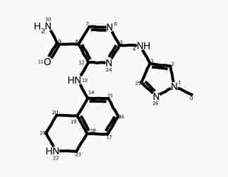 Cn1cc(Nc2ncc(C(N)=O)c(Nc3cccc4c3CCNC4)n2)cn1